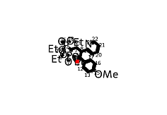 CCOP(=O)(OCC)C(CC(C(=O)c1ccc(OC)cc1)c1ccccn1)P(=O)(OCC)OCC